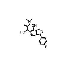 C=C(CN(C)C)C(O)c1ncc2c(c1O)COC2c1ccc(F)cc1